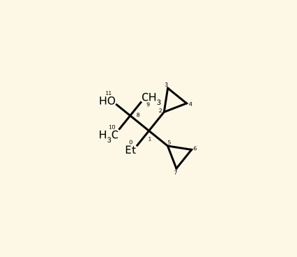 CCC(C1CC1)(C1CC1)C(C)(C)O